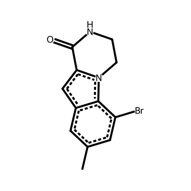 Cc1cc(Br)c2c(c1)cc1n2CCNC1=O